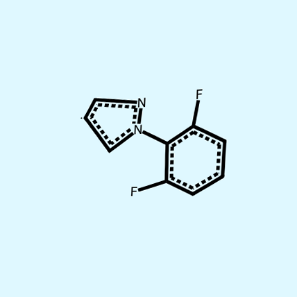 Fc1cccc(F)c1-n1c[c]cn1